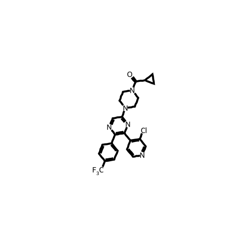 O=C(C1CC1)N1CCN(c2cnc(-c3ccc(C(F)(F)F)cc3)c(-c3ccncc3Cl)n2)CC1